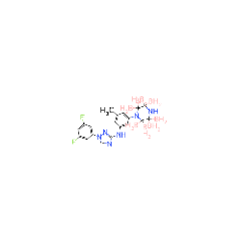 BC1(B)NC(B)(B)C(B)(B)N(c2cc(C)cc(Nc3ncn(-c4cc(F)cc(F)c4)n3)c2)C1(B)B